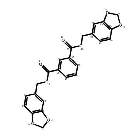 O=C(OCc1ccc2c(c1)OCO2)c1cccc(C(=O)OCc2ccc3c(c2)OCO3)c1